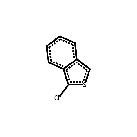 Clc1scc2ccccc12